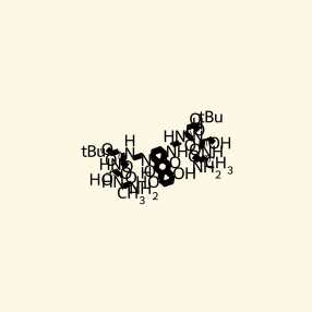 C[C@H](NC(=O)[C@H](CO)NC(=O)[C@H](CC(=O)OC(C)(C)C)NCCNc1ccc(NCCN[C@@H](CC(=O)OC(C)(C)C)C(=O)N[C@@H](CO)C(=O)N[C@@H](C)C(N)=O)c2c1C(=O)c1c(O)ccc(O)c1C2=O)C(N)=O